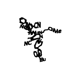 CCC(C)C(=O)OC1CCN(c2nc(NCCCOC)c(N=Nc3nn(-c4ccccc4[N+](=O)[O-])cc3C#N)c(C)c2C#N)CC1